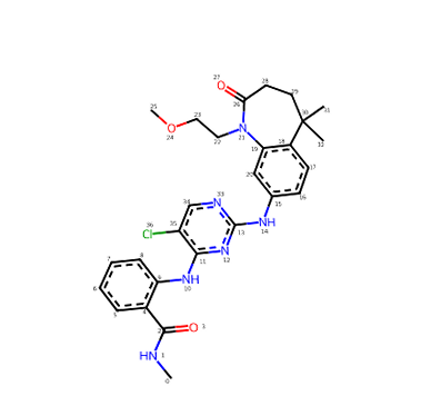 CNC(=O)c1ccccc1Nc1nc(Nc2ccc3c(c2)N(CCOC)C(=O)CCC3(C)C)ncc1Cl